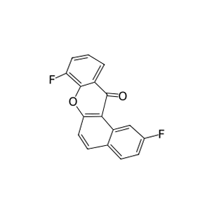 O=c1c2cccc(F)c2oc2ccc3ccc(F)cc3c12